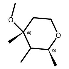 CO[C@]1(C)CCO[C@@H](C)C1C